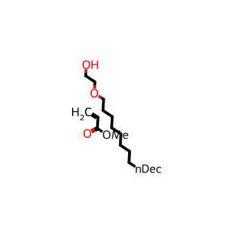 C=CC(=O)OC.CCCCCCCCCCCCCCCCCCOCCO